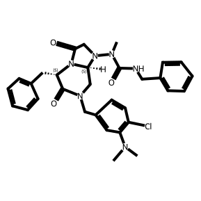 CN(C)c1cc(CN2C[C@H]3N(C(=O)CN3N(C)C(=O)NCc3ccccc3)[C@@H](Cc3ccccc3)C2=O)ccc1Cl